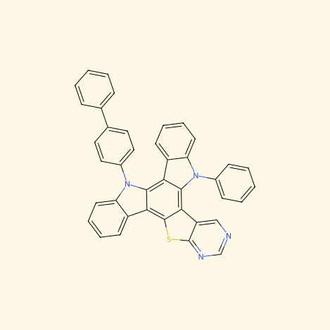 c1ccc(-c2ccc(-n3c4ccccc4c4c5sc6ncncc6c5c5c(c6ccccc6n5-c5ccccc5)c43)cc2)cc1